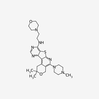 CN1CCN(c2nc3sc4c(NCCN5CCOCC5)ncnc4c3c3c2COC(C)(C)C3)CC1